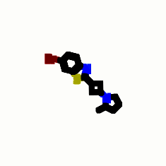 CC1CCCN1C1CC(c2nc3ccc(Br)cc3s2)C1